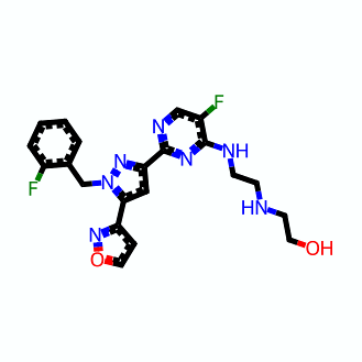 OCCNCCNc1nc(-c2cc(-c3ccon3)n(Cc3ccccc3F)n2)ncc1F